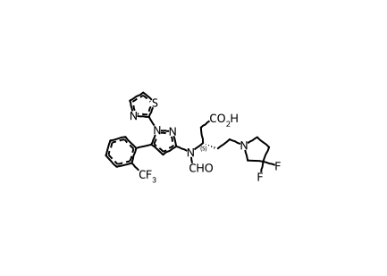 O=CN(c1cc(-c2ccccc2C(F)(F)F)n(-c2nccs2)n1)[C@@H](CCN1CCC(F)(F)C1)CC(=O)O